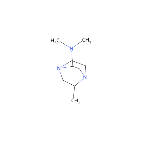 CC1CN2CCN1CC2N(C)C